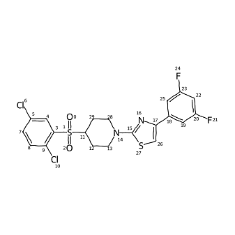 O=S(=O)(c1cc(Cl)ccc1Cl)C1CCN(c2nc(-c3cc(F)cc(F)c3)cs2)CC1